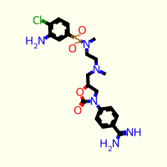 CN(CCN(C)S(=O)(=O)c1ccc(Cl)c(N)c1)CC1CN(c2ccc(C(=N)N)cc2)C(=O)O1